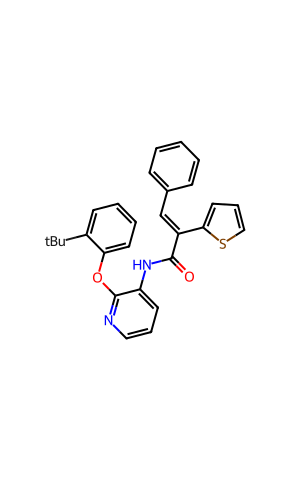 CC(C)(C)c1ccccc1Oc1ncccc1NC(=O)/C(=C/c1ccccc1)c1cccs1